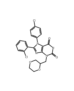 O=C1[N]C(=O)N(CC2COCCO2)c2nc(-c3ccccc3Cl)n(-c3ccc(Cl)cc3)c21